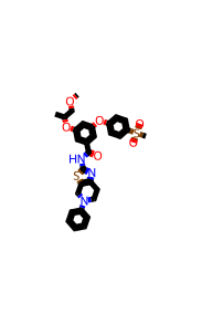 COCC(C)Oc1cc(Oc2ccc(S(C)(=O)=O)cc2)cc(C(=O)Nc2nc3c(s2)CN(c2ccccc2)CC3)c1